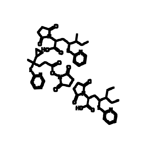 CC(CCC(=O)ON1C(=O)CCC1=O)(Sc1ccccn1)C1CC1.CCC(C)C(CC(C(=O)O)N1C(=O)CCC1=O)Sc1ccccn1.CCC(CC)C(CC(C(=O)O)N1C(=O)CCC1=O)Sc1ccccn1